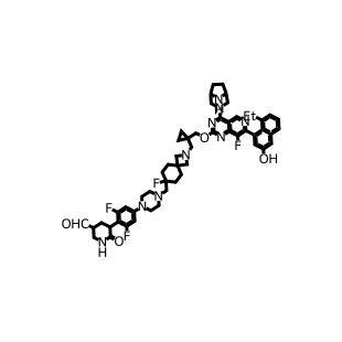 CCc1cccc2cc(O)cc(-c3ncc4c(N5CC6CCC(C5)N6)nc(OCC5(CN6CC7(CCC(F)(CN8CCN(c9cc(F)c(C%10CC(C=O)CNC%10=O)c(F)c9)CC8)CC7)C6)CC5)nc4c3F)c12